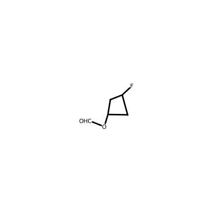 O=COC1CC(F)C1